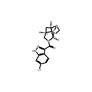 O=C(c1n[nH]c2cc(Cl)ccc12)N1C[C@@H]2C[C@@H]3N4CC[C@]23[C@@H]1C4